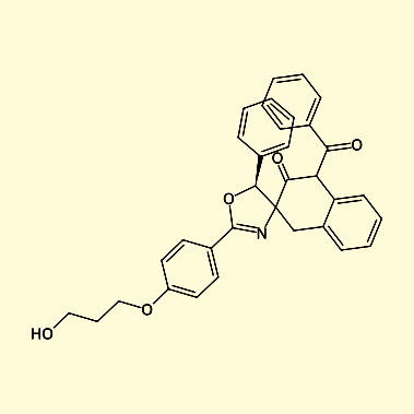 O=C(c1ccccc1)C1C(=O)C2(Cc3ccccc31)N=C(c1ccc(OCCCO)cc1)O[C@H]2c1ccccc1